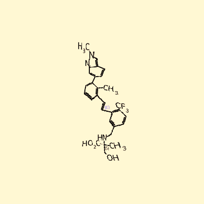 Cc1c(/C=C/c2cc(CN[C@@](C)(CO)C(=O)O)ccc2C(F)(F)F)cccc1-c1ccc2cn(C)nc2c1